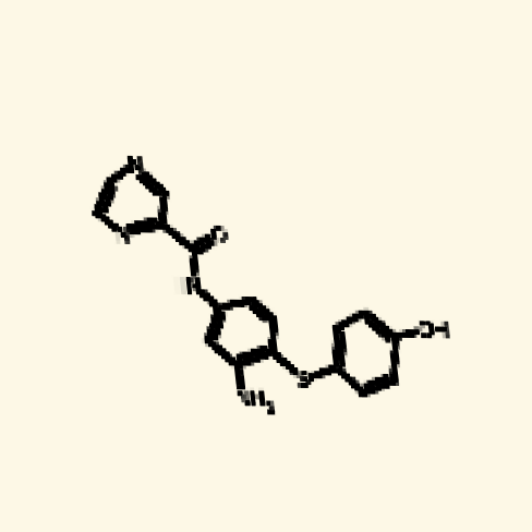 Nc1cc(NC(=O)c2cnccn2)ccc1Sc1ccc(O)cc1